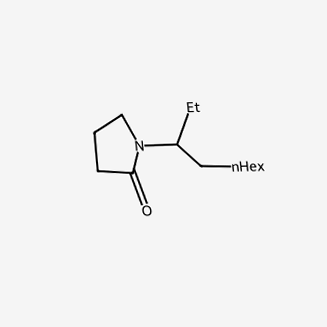 CCCCCCCC(CC)N1CCCC1=O